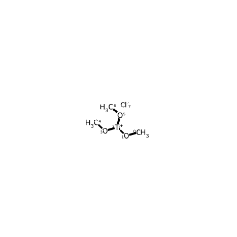 C[O][Ti+]([O]C)[O]C.[Cl-]